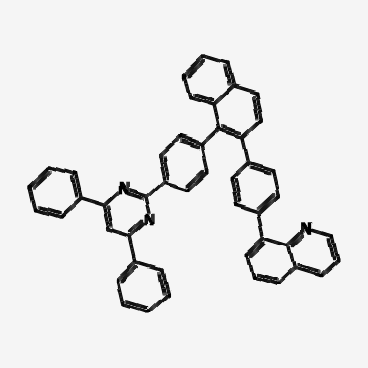 c1ccc(-c2cc(-c3ccccc3)nc(-c3ccc(-c4c(-c5ccc(-c6cccc7cccnc67)cc5)ccc5ccccc45)cc3)n2)cc1